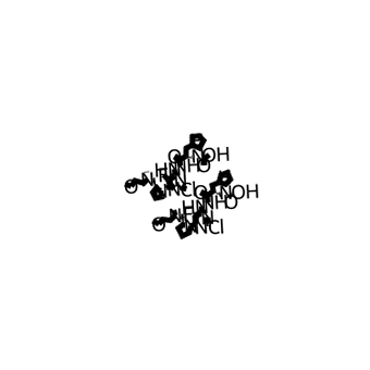 COCCN(C)C[C@@H]1CCCN1c1nc(Cl)nc(NNC(=O)[C@@H](CNC(=O)O)CC2CCCC2)c1F.COCCN(C)C[C@@H]1CCCN1c1nc(Cl)nc(NNC(=O)[C@@H](CNC(=O)O)CC2CCCC2)c1F